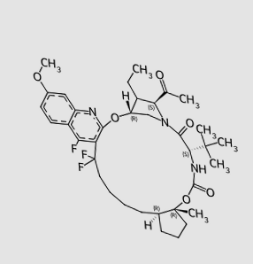 CCC1[C@@H]2CN(C(=O)[C@H](C(C)(C)C)NC(=O)O[C@]3(C)CCC[C@H]3CCCCC(F)(F)c3c(nc4cc(OC)ccc4c3F)O2)[C@@H]1C(C)=O